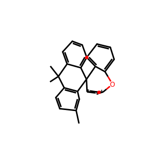 Cc1ccc2c(c1)C1(c3ccccc3Oc3ccccc31)c1ccccc1C2(C)C